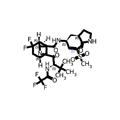 CC(C)(C)[C@H](NC(=O)C(F)(F)F)C(=O)N1[C@@H]2CC[C@H]([C@H]1C(=O)N[C@H](/C=C(\F)S(C)(=O)=O)C[C@H]1CCNC1=O)C(F)(F)C2